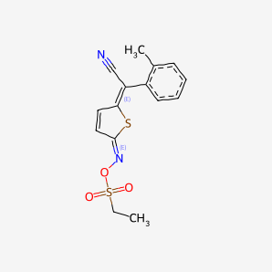 CCS(=O)(=O)O/N=C1C=C/C(=C(\C#N)c2ccccc2C)S\1